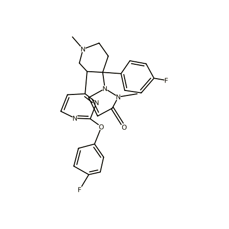 CN1CCC(c2ccc(F)cc2)(n2ccc(=O)n2C)C(c2ccnc(Oc3ccc(F)cc3)n2)C1